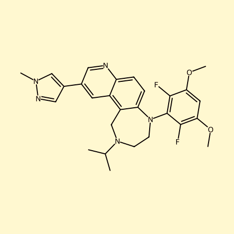 COc1cc(OC)c(F)c(N2CCN(C(C)C)Cc3c2ccc2ncc(-c4cnn(C)c4)cc32)c1F